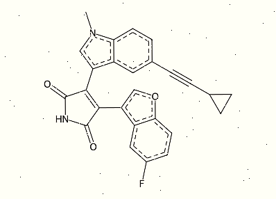 Cn1cc(C2=C(c3coc4ccc(F)cc34)C(=O)NC2=O)c2cc(C#CC3CC3)ccc21